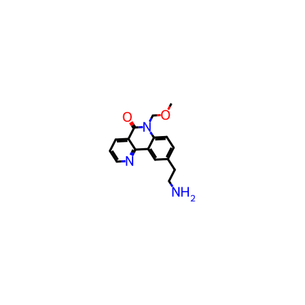 COCn1c(=O)c2cccnc2c2cc(CCN)ccc21